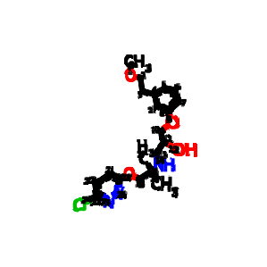 COCCc1cccc(OCC(O)CNC(C)(C)COc2ccc(Cl)nn2)c1